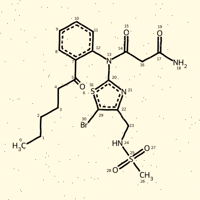 CCCCCC(=O)c1ccccc1N(C(=O)CC(N)=O)c1nc(CNS(C)(=O)=O)c(Br)s1